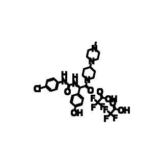 CN1CCN(C2CCN(C(=O)[C@H](NC(=O)Nc3ccc(Cl)cc3)c3ccc(O)cc3)CC2)CC1.O=C(O)C(F)(F)F.O=C(O)C(F)(F)F